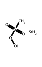 CS(=O)(=O)OO.[SrH2]